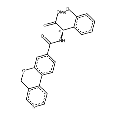 COC(=O)[C@H](NC(=O)c1ccc2c(c1)OCc1cnccc1-2)c1ccccc1Cl